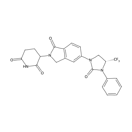 O=C1CCC(N2Cc3cc(N4C[C@H](C(F)(F)F)N(c5ccccc5)C4=O)ccc3C2=O)C(=O)N1